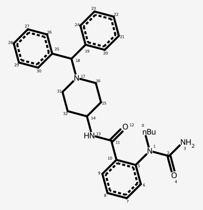 CCCCN(C(N)=O)c1ccccc1C(=O)NC1CCN(C(c2ccccc2)c2ccccc2)CC1